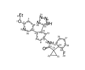 CCOc1ccc(-c2ccc(NC(=O)C3(c4ccccc4F)CC3)cc2-c2nnn[nH]2)cn1